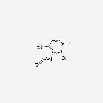 CCc1ccc(C)c(CC)c1N=C=S